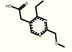 CCc1nc(COC)ncc1CC(=O)O